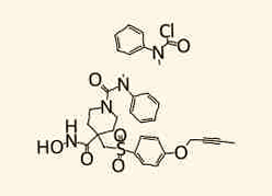 CC#CCOc1ccc(S(=O)(=O)CC2(C(=O)NO)CCN(C(=O)N(C)c3ccccc3)CC2)cc1.CN(C(=O)Cl)c1ccccc1